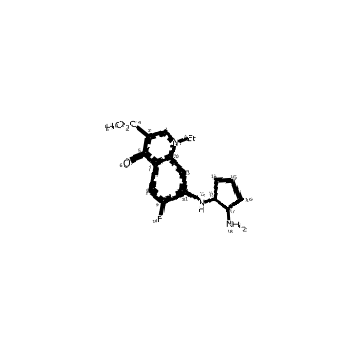 CCn1cc(C(=O)O)c(=O)c2cc(F)c(NC3CCCC3N)cc21